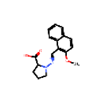 COc1ccc2ccccc2c1/C=N/N1CCCC1C(=O)O